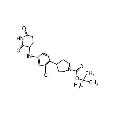 CC(C)(C)OC(=O)N1CCC(c2ccc(NC3CCC(=O)NC3=O)cc2Cl)CC1